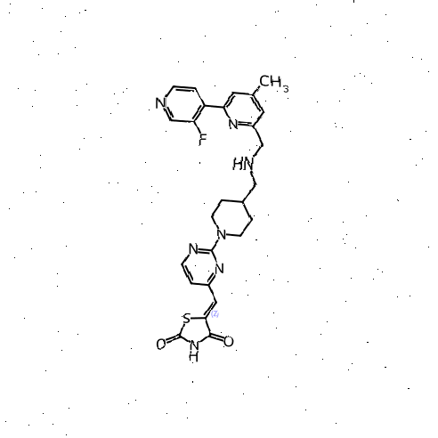 Cc1cc(CNCC2CCN(c3nccc(/C=C4\SC(=O)NC4=O)n3)CC2)nc(-c2ccncc2F)c1